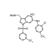 CNCc1cn(S(=O)(=O)c2cccc(C(F)(F)F)c2)c2cc(Nc3ccc(C)cc3Cl)ccc12.Cl